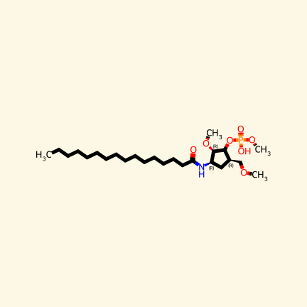 CCCCCCCCCCCCCCCC(=O)N[C@@H]1C[C@H](COC)C(OP(=O)(O)OC)[C@@H]1OC